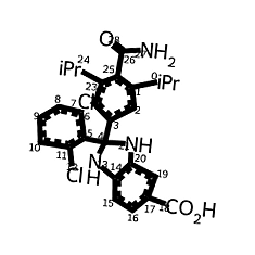 CC(C)c1cc(C2(c3c(Cl)cccc3Cl)Nc3ccc(C(=O)O)cc3N2)cc(C(C)C)c1C(N)=O